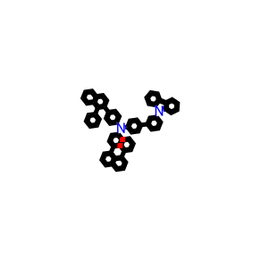 c1ccc(-c2c(-c3ccc(N(c4ccc(-c5cccc(-n6c7ccccc7c7ccccc76)c5)cc4)c4ccc(-c5cccc6cccc(-c7ccccc7)c56)cc4)cc3)ccc3ccccc23)cc1